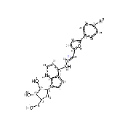 OCC1OC(n2cnc3c(N/N=C/c4ccc(-c5ccc(Br)cc5)o4)ncnc32)C(O)C1O